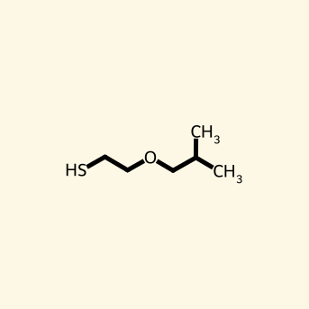 CC(C)COCCS